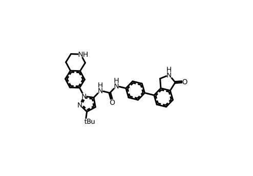 CC(C)(C)c1cc(NC(=O)Nc2ccc(-c3cccc4c3CNC4=O)cc2)n(-c2ccc3c(c2)CNCC3)n1